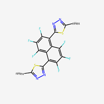 CCCCCCc1nnc(-c2c(F)c(F)c(F)c3c(-c4nnc(CCCCCC)s4)c(F)c(F)c(F)c23)s1